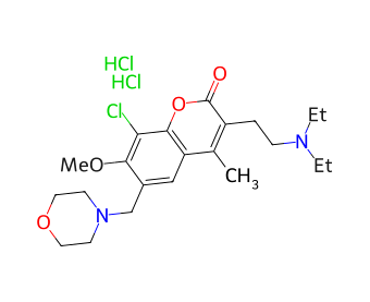 CCN(CC)CCc1c(C)c2cc(CN3CCOCC3)c(OC)c(Cl)c2oc1=O.Cl.Cl